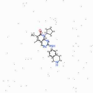 CC(=O)c1c(C)c2cnc(Nc3ccc4c(c3)CCNC4)nc2n(C2CCCC2)c1=O